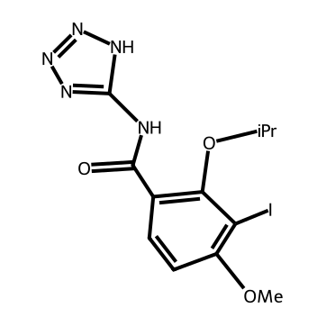 COc1ccc(C(=O)Nc2nnn[nH]2)c(OC(C)C)c1I